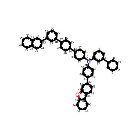 c1ccc(-c2cccc(N(c3ccc(-c4ccc(-c5cccc(-c6ccc7ccccc7c6)c5)cc4)cc3)c3ccc(-c4ccc5c(c4)oc4ccccc45)cc3)c2)cc1